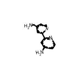 Nc1ccnc(-c2cc(N)ccn2)c1